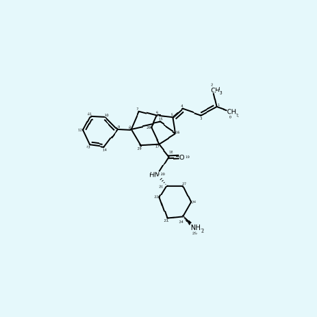 CC(C)=C/C=C1/C2CC3(c4ccccc4)CC1C(C(=O)N[C@H]1CC[C@H](N)CC1)(C2)C3